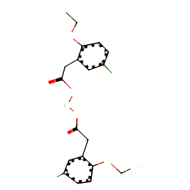 COCOc1ccc(F)cc1CC(=O)OBOC(=O)Cc1cc(F)ccc1OCOC